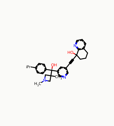 CC(C)c1ccc([C@](O)(c2cncc(C#CC3(O)CCCc4cccnc43)c2)C2(C)CN(C)C2)cc1